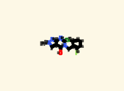 CC(C)n1cc2c(=O)n(Cc3c(F)cccc3Cl)cnc2n1